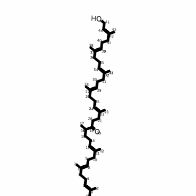 CC(C)=CCCC(C)=CCCC(C)=CCCC(C)C(=O)CCC(C)=CCCC(C)=CCCC(C)=CCCC(C)=CCCC(C)=CCO